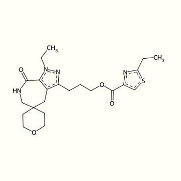 CCc1nc(C(=O)OCCCc2nn(CC)c3c2CC2(CCOCC2)CNC3=O)cs1